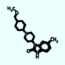 COCC1CCC(N2CCC(n3c(=O)[nH]c4ccc(C)cc43)CC2)CC1